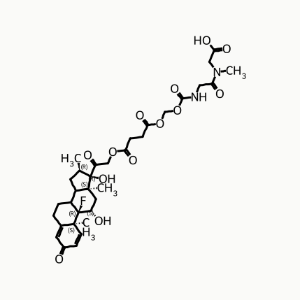 C[C@@H]1CC2C3CCC4=CC(=O)C=C[C@]4(C)[C@@]3(F)[C@@H](O)C[C@]2(C)[C@@]1(O)C(=O)COC(=O)CCC(=O)OCOC(=O)NCC(=O)N(C)CC(=O)O